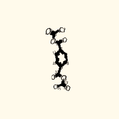 O=C(Cl)OC(=O)c1ccc(C(=O)OC(=O)Cl)cc1